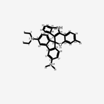 CCN(CC)c1ccc2c(c1)-c1cc(N(C)C)ccc1C21Oc2cc(C)ccc2-c2[nH]c3ccccc3c21